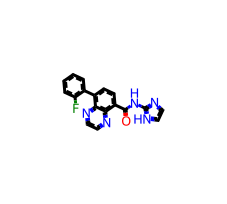 O=C(Nc1ncc[nH]1)c1ccc(-c2ccccc2F)c2nccnc12